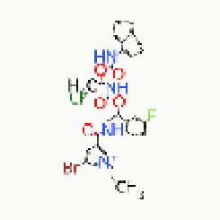 CCC[n+]1cc(Br)cc(C(=O)NCC(OC(=O)NC(C)OC(=O)Nc2cccc3ccccc23)c2cccc(F)c2)c1.[Cl-]